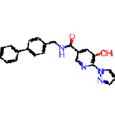 O=C(NCc1ccc(-c2ccccc2)cc1)c1cnc(-n2cccn2)c(O)c1